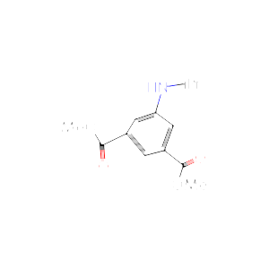 COC(=O)c1cc(NC(C)C)cc(C(=O)OC)c1